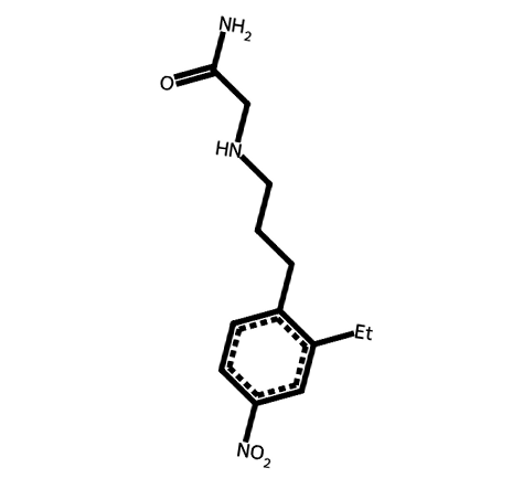 CCc1cc([N+](=O)[O-])ccc1CCCNCC(N)=O